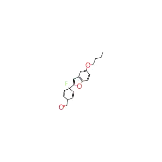 CCCCOc1ccc2oc(C3(F)C=CC(C=O)C=C3)cc2c1